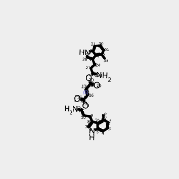 Cc1cccc2[nH]cc(CCC(N)OC(=O)/C=C/C(=O)OC(N)CCc3c[nH]c4cccc(C)c34)c12